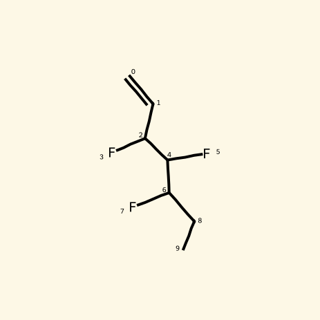 C=CC(F)C(F)C(F)CC